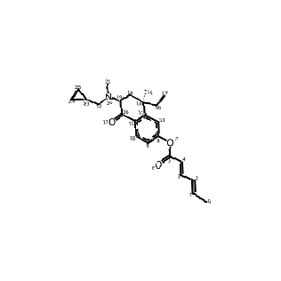 C/C=C/C=C/C(=O)Oc1ccc2c(c1)[C@](C)(CC)C[C@H](N(C)CC1CC1)C2=O